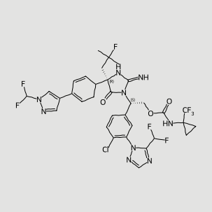 CC(C)(F)C[C@]1(C2C=CC(c3cnn(C(F)F)c3)=CC2)NC(=N)N([C@H](COC(=O)NC2(C(F)(F)F)CC2)c2ccc(Cl)c(-n3ncnc3C(F)F)c2)C1=O